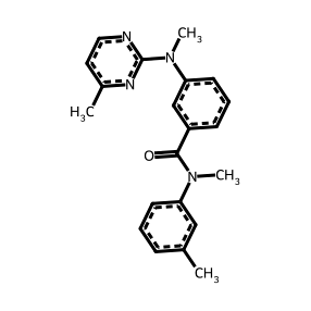 Cc1cccc(N(C)C(=O)c2cccc(N(C)c3nccc(C)n3)c2)c1